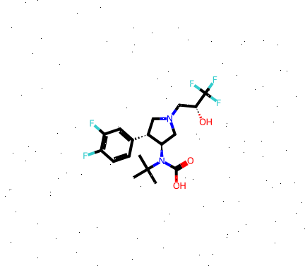 CC(C)(C)N(C(=O)O)[C@@H]1CN(C[C@@H](O)C(F)(F)F)C[C@H]1c1ccc(F)c(F)c1